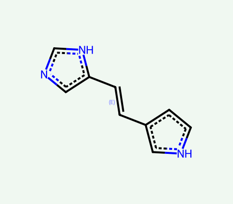 C(=C\c1cnc[nH]1)/c1cc[nH]c1